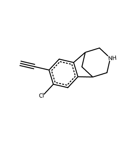 C#Cc1cc2c(cc1Cl)C1CNCC2C1